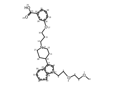 COCCOCCn1cc(C2CCN(CCCOc3cccc(C(=O)O)c3)CC2)c2ccccc21